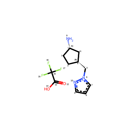 N[C@H]1CC[C@@H](Cn2cccn2)C1.O=C(O)C(F)(F)F